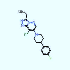 CC(C)(C)Cc1nnc2c(Cl)c(N3CCC(c4ccc(F)cc4)CC3)cnn12